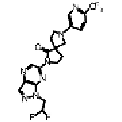 O=C1N(c2cnc3cnn(CC(F)F)c3n2)CCC12CCN(c1ccc(C(F)(F)F)nc1)C2